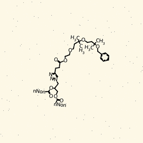 CCCCCCCCCC(=O)OCC(Cn1cc(CCC(=O)OCCOCCC(C)(C)OCCC(C)(C)OCc2ccccc2)nn1)OC(=O)CCCCCCCCC